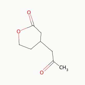 CC(=O)CC1CCOC(=O)C1